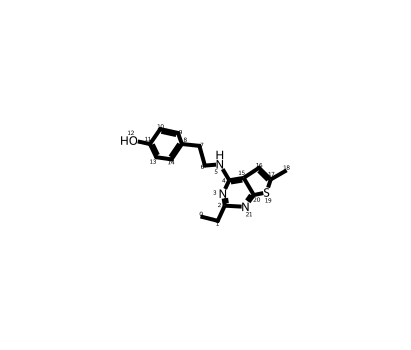 CCc1nc(NCCc2ccc(O)cc2)c2cc(C)sc2n1